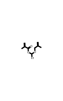 C=C(C)COC(CC)OC(=O)C(=C)C